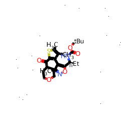 CC[C@H](NC(=O)OC(C)(C)C)c1onc(C)c1-c1c(C(=O)C2CCOCC2)sc(C)c1C